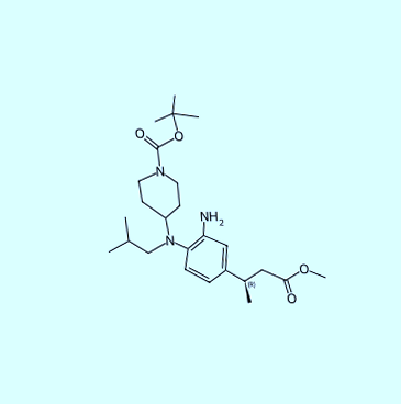 COC(=O)C[C@@H](C)c1ccc(N(CC(C)C)C2CCN(C(=O)OC(C)(C)C)CC2)c(N)c1